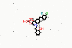 O=C(O)Oc1cn([C@H](CO)CC2CCCCC2)c2ccc(Cc3cccc(Cl)c3F)cc2c1=O